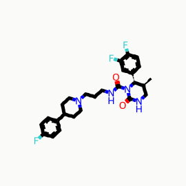 C[C@H]1CNC(=O)N(C(=O)NCCCN2CCC(c3ccc(F)cc3)CC2)[C@@H]1c1ccc(F)c(F)c1